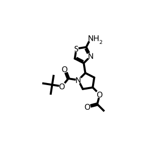 CC(=O)OC1CC(c2csc(N)n2)N(C(=O)OC(C)(C)C)C1